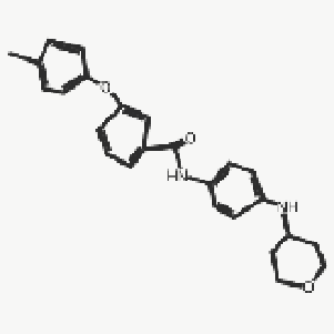 Cc1ccc(Oc2cccc(C(=O)Nc3ccc(NC4CCOCC4)cc3)c2)cc1